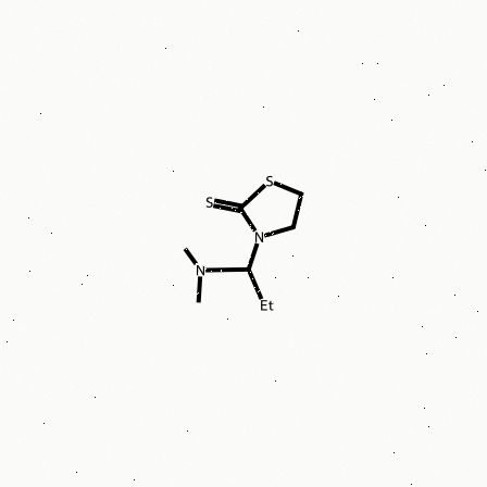 CCC(N(C)C)N1CCSC1=S